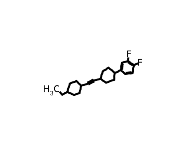 CCC1CCC(C#CC2CCC(c3ccc(F)c(F)c3)CC2)CC1